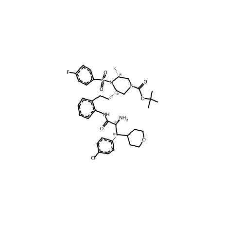 C[C@@H]1CN(C(=O)OC(C)(C)C)C[C@H](CCc2ccccc2NC(=O)[C@@H](N)[C@@H](c2ccc(Cl)cc2)C2CCOCC2)N1S(=O)(=O)c1ccc(F)cc1